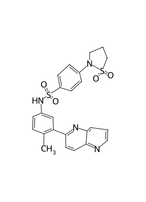 Cc1ccc(NS(=O)(=O)c2ccc(N3CCCS3(=O)=O)cc2)cc1-c1ccc2ncccc2n1